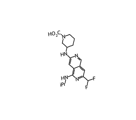 CC(C)Nc1nc(C(F)F)cc2cnc(NC3CCCN(C(=O)O)C3)cc12